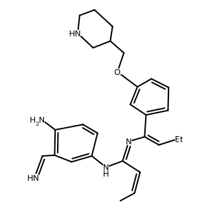 C\C=C/C(=N\C(=C\CC)c1cccc(OCC2CCCNC2)c1)Nc1ccc(N)c(C=N)c1